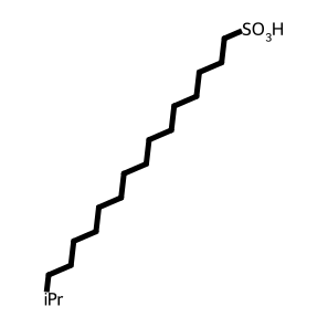 CC(C)CCCCCCCCCCCCCCCS(=O)(=O)O